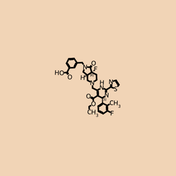 CCOC(=O)C1=C(CN2CC[C@]3(F)C(=O)N(Cc4cccc(C(=O)O)c4)C[C@@H]3C2)NC(c2nccs2)=N[C@H]1c1cccc(F)c1C